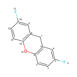 Fc1ccc2c(c1)Cc1cc(F)ccc1O2